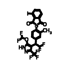 Cc1cc(C(c2c(C(F)(F)F)n[nH]c2OC(F)F)C(F)F)ccc1N1C(=O)c2cccc(I)c2C1=O